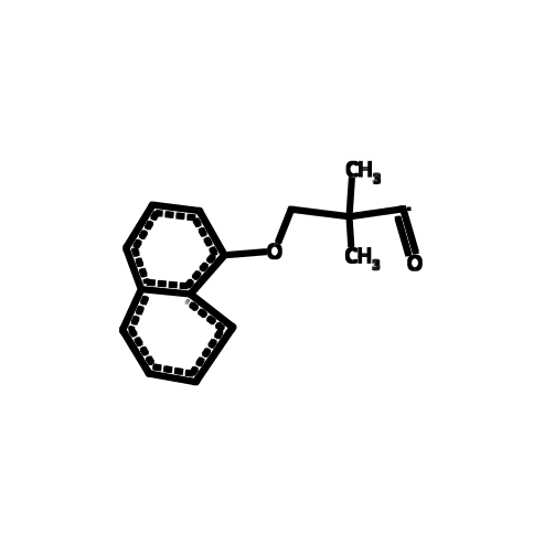 CC(C)([C]=O)COc1cccc2ccccc12